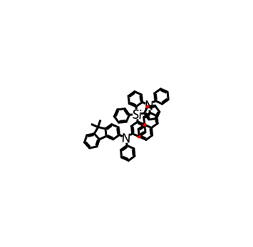 CC1(C)c2ccccc2-c2cc(N(c3ccccc3)c3cccc([Si](c4ccccc4)(c4ccccc4)c4ccccc4N(c4ccccc4)c4ccc5ccccc5c4)c3)ccc21